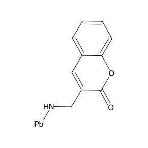 O=c1oc2ccccc2cc1C[NH][Pb]